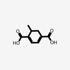 CC1CC(C(=O)O)=CC=C1C(=O)O